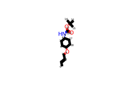 CC=CCO[C@H]1CC[C@H](NC(=O)OC(C)(C)C)CC1